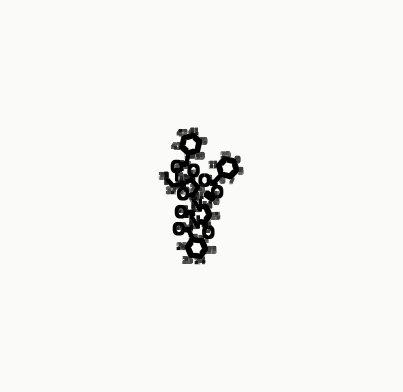 C#C[C@]1(OC(=O)c2ccccc2)[C@H](n2ccc(=O)n(C(=O)c3ccccc3)c2=O)O[C@](F)(CI)[C@H]1OC(=O)c1ccccc1